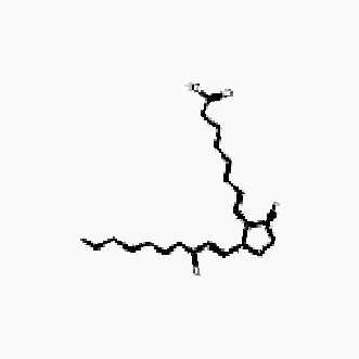 CCCCCCCC(=O)C=CC1CCC(=O)C1CCCCCCCC(=O)O